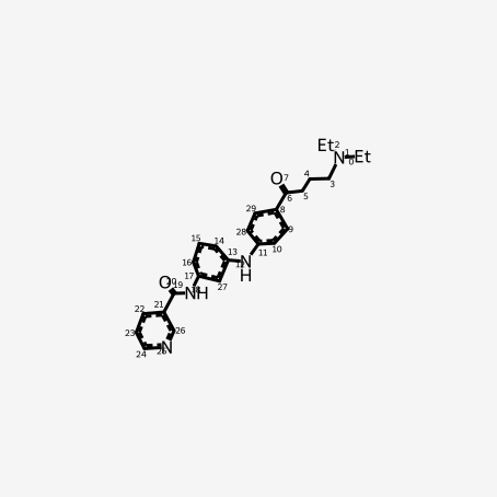 CCN(CC)CCCC(=O)c1ccc(Nc2cccc(NC(=O)c3cccnc3)c2)cc1